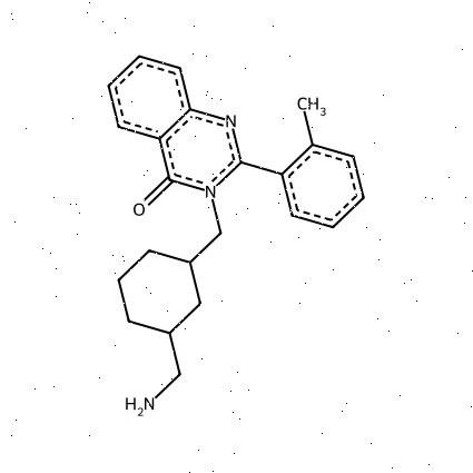 Cc1ccccc1-c1nc2ccccc2c(=O)n1CC1CCCC(CN)C1